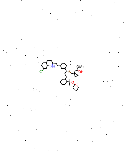 COC(O)CC1(CSC(CCC2CCCCC2C(C)(C)OC2CCCCO2)C2CCCC(CCC3CCC4CCC(Cl)CC4N3)C2)CC1